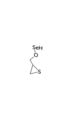 [SeH]OCC1CS1